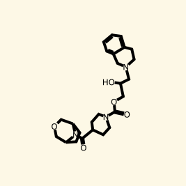 O=C(OCC(O)CN1CCc2ccccc2C1)N1CCC(C(=O)N2C3CCC2COC3)CC1